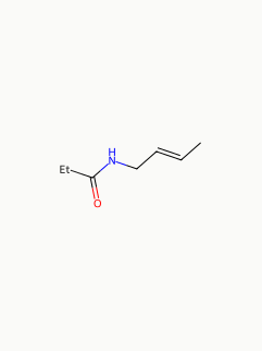 C/C=C/CNC(=O)CC